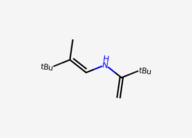 C=C(N/C=C(\C)C(C)(C)C)C(C)(C)C